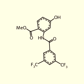 COC(=O)c1ccc(O)cc1NC(=O)c1cc(C(F)(F)F)cc(C(F)(F)F)c1